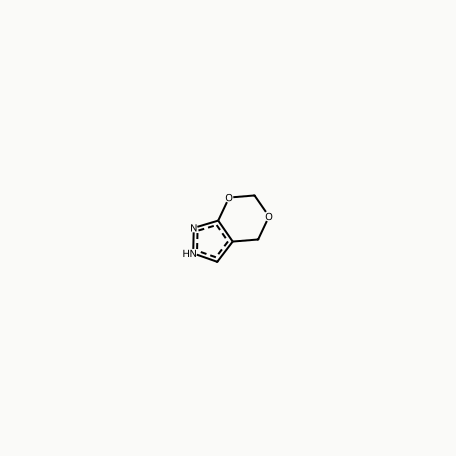 c1[nH]nc2c1COCO2